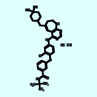 CC(C)(C)NC(=O)c1cccc(Oc2ccc(Nc3ncnc4c3C=C(CN3CCS(O)(O)CC3)CCN4)cc2Cl)c1.Cl.Cl